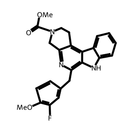 COC(=O)N1CCc2c(nc(Cc3ccc(OC)c(F)c3)c3[nH]c4ccccc4c23)C1